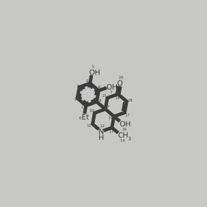 CCc1ccc(O)c(O)c1C12CCNC(C)C1(O)C=CC(=O)C2